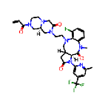 C=CC(=O)N1CCN2CC(=O)N(CCN3C[C@H]4CC(=O)N(c5cc(C(F)(F)F)cc(C)n5)[C@@H]4C(=O)N(C)c4cccc(F)c43)C[C@H]2C1